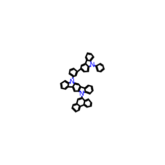 c1ccc(-n2c3ccccc3c3cc(-c4cccc(-n5c6ccccc6c6cc7c(cc65)c5ccccc5n7-c5cc6ccccc6c6ccccc56)c4)ccc32)cc1